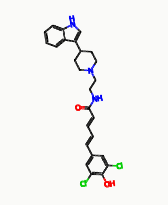 O=C(/C=C/C=C/c1cc(Cl)c(O)c(Cl)c1)NCCN1CCC(c2c[nH]c3ccccc23)CC1